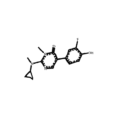 CN(c1ncc(-c2ccc(O)c(F)c2)c(=O)n1C)C1CC1